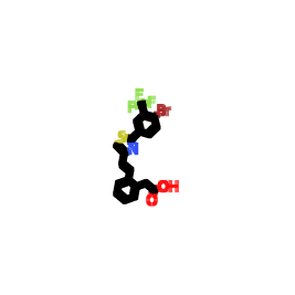 O=C(O)Cc1ccccc1/C=C/c1csc(-c2ccc(Br)c(C(F)(F)F)c2)n1